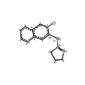 Clc1cc2cccnc2cc1NC1=NCCC1